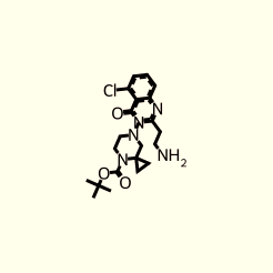 CC(C)(C)OC(=O)N1CCN(n2c(CCN)nc3cccc(Cl)c3c2=O)CC12CC2